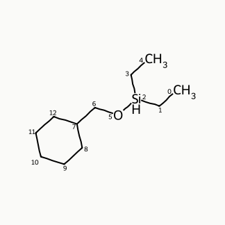 CC[SiH](CC)OCC1CCCCC1